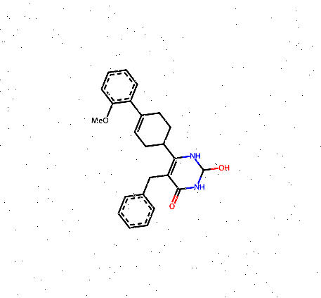 COc1ccccc1C1=CCC(C2=C(Cc3ccccc3)C(=O)NC(O)N2)CC1